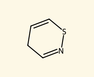 C1=CSN=CC1